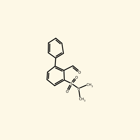 CN(C)S(=O)(=O)c1cccc(-c2ccccc2)c1C=O